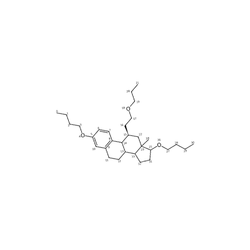 CCCCOc1ccc2c(c1)CCC1C2[C@@H](CCOCCC)CC2(C)C(OCCCC)CCC12